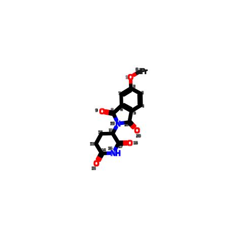 CC(C)Oc1ccc2c(c1)C(=O)N(C1CCC(=O)NC1=O)C2=O